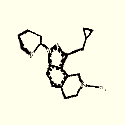 CN1CCc2ccc3c(c(CC4CC4)nn3C3CCCCO3)c2C1